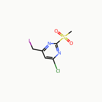 CS(=O)(=O)c1nc(Cl)cc(CI)n1